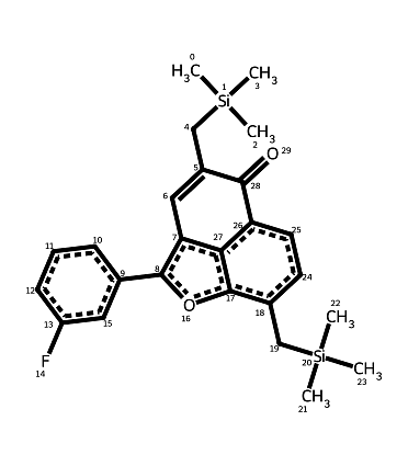 C[Si](C)(C)CC1=Cc2c(-c3cccc(F)c3)oc3c(C[Si](C)(C)C)ccc(c23)C1=O